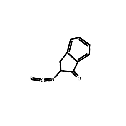 O=C1c2ccccc2CC1N=C=S